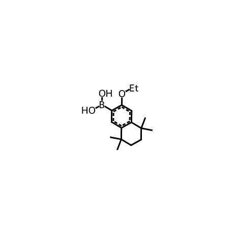 CCOc1cc2c(cc1B(O)O)C(C)(C)CCC2(C)C